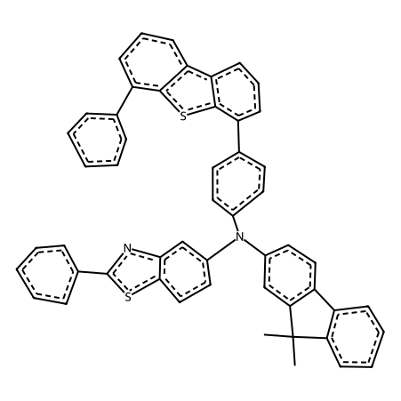 CC1(C)c2ccccc2-c2ccc(N(c3ccc(-c4cccc5c4sc4c(-c6ccccc6)cccc45)cc3)c3ccc4sc(-c5ccccc5)nc4c3)cc21